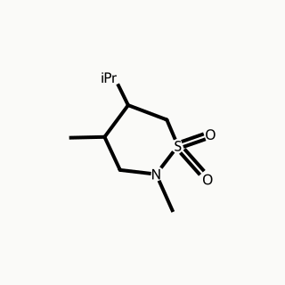 CC(C)C1CS(=O)(=O)N(C)CC1C